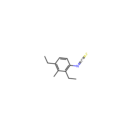 CCc1ccc(N=C=S)c(CC)c1C